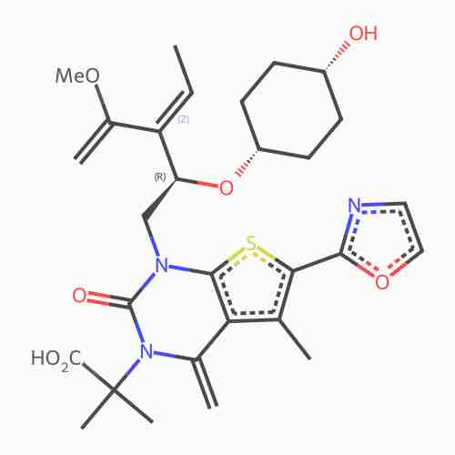 C=C(OC)/C(=C\C)[C@H](CN1C(=O)N(C(C)(C)C(=O)O)C(=C)c2c1sc(-c1ncco1)c2C)O[C@H]1CC[C@@H](O)CC1